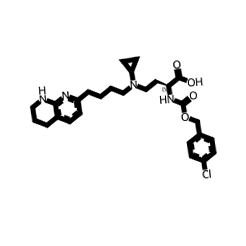 O=C(N[C@@H](CCN(CCCCc1ccc2c(n1)NCCC2)C1CC1)C(=O)O)OCc1ccc(Cl)cc1